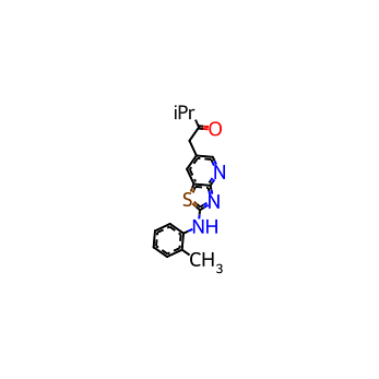 Cc1ccccc1Nc1nc2ncc(CC(=O)C(C)C)cc2s1